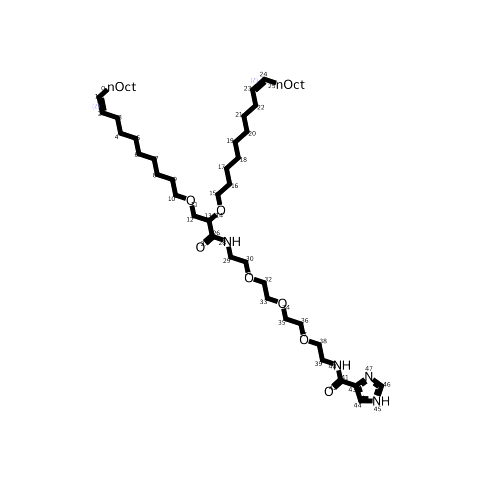 CCCCCCCC/C=C\CCCCCCCCOCC(OCCCCCCCC/C=C\CCCCCCCC)C(=O)NCCOCCOCCOCCNC(=O)c1c[nH]cn1